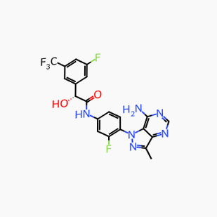 Cc1nn(-c2ccc(NC(=O)[C@H](O)c3cc(F)cc(C(F)(F)F)c3)cc2F)c2c(N)ncnc12